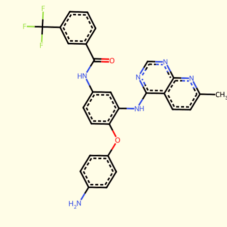 Cc1ccc2c(Nc3cc(NC(=O)c4cccc(C(F)(F)F)c4)ccc3Oc3ccc(N)cc3)ncnc2n1